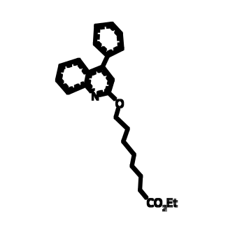 CCOC(=O)CCCCCCCOc1cc(-c2ccccc2)c2ccccc2n1